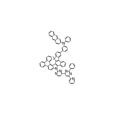 CC1(C)c2ccc(-c3cccc(N(c4ccccc4)c4ccc5cc6ccccc6cc5c4)c3)cc2-c2c1c1c3c4c5ccccc5c5ccccc5c4ccc3n(-c3nccc(-c4cc(-c5ccccn5)nc(-c5ccccc5)n4)n3)c1c1ccccc21